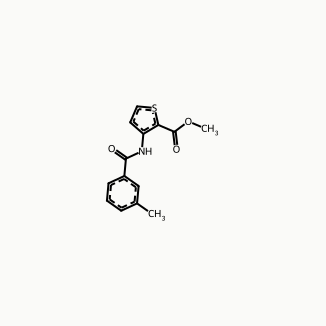 COC(=O)c1sccc1NC(=O)c1cccc(C)c1